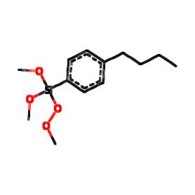 CCCCc1ccc([Si](OC)(OC)OOC)cc1